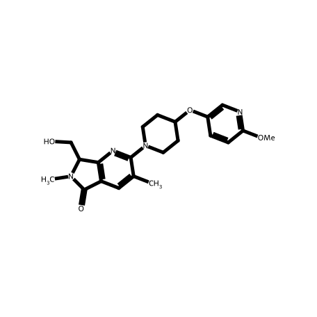 COc1ccc(OC2CCN(c3nc4c(cc3C)C(=O)N(C)C4CO)CC2)cn1